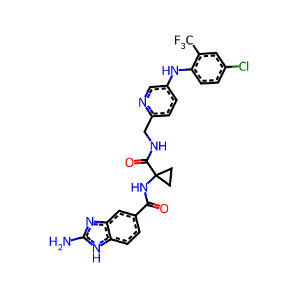 Nc1nc2cc(C(=O)NC3(C(=O)NCc4ccc(Nc5ccc(Cl)cc5C(F)(F)F)cn4)CC3)ccc2[nH]1